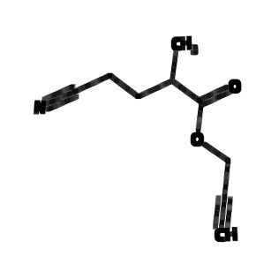 C#CCOC(=O)C(C)CCC#N